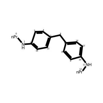 CCCNc1ccc(Cc2ccc(NCCC)cc2)cc1